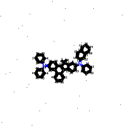 CC1(C)c2cc(N(c3ccccc3)c3ccc4ccccc4c3)ccc2-c2c1c1ccc(N(c3ccccc3)c3ccccc3)cc1c1ccccc21